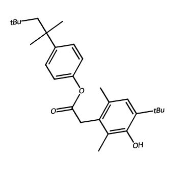 Cc1cc(C(C)(C)C)c(O)c(C)c1CC(=O)Oc1ccc(C(C)(C)CC(C)(C)C)cc1